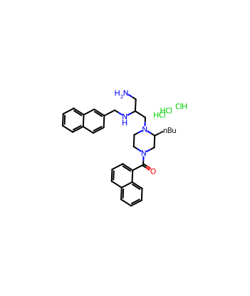 CCCCC1CN(C(=O)c2cccc3ccccc23)CCN1CC(CN)NCc1ccc2ccccc2c1.Cl.Cl.Cl